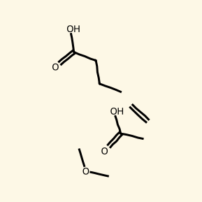 C=C.CC(=O)O.CCCC(=O)O.COC